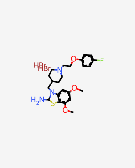 Br.Br.COc1cc(OC)c2c(c1)N(CC1CCN(CCOc3ccc(F)cc3)CC1)C(N)S2